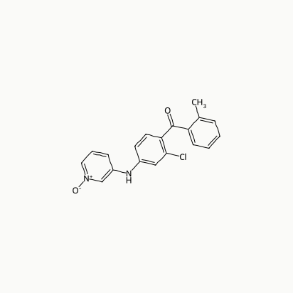 Cc1ccccc1C(=O)c1ccc(Nc2ccc[n+]([O-])c2)cc1Cl